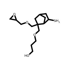 OCCCOCC1(COCC2CO2)CC2CC([SiH3])C1C2